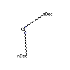 CCCCCCCCCCCCCCCCCCCCCC/C=C/C1OC1/C=C/CCCCCCCCCCCCCCCCCCCCCCC